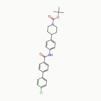 CC(C)(C)OC(=O)N1CCC(c2ccc(NC(=O)c3ccc(-c4ccc(Cl)cc4)cc3)cc2)CC1